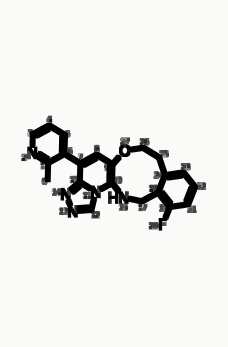 Cc1ncccc1-c1cc2c(n3cnnc13)NCc1c(F)cccc1CCO2